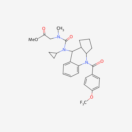 COC(=O)CN(C)C(=O)N(C1CC1)C1c2ccccc2N(C(=O)c2ccc(OC(F)(F)F)cc2)C2CCCC21